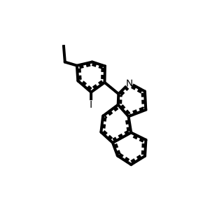 CCc1ccc(-c2nccc3c2ccc2ccccc23)c(I)c1